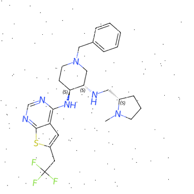 CN1CCC[C@H]1CN[C@H]1CN(Cc2ccccc2)CC[C@@H]1Nc1ncnc2sc(CC(F)(F)F)cc12